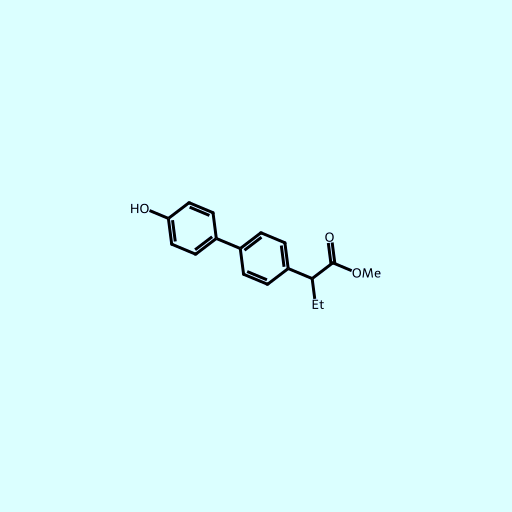 CCC(C(=O)OC)c1ccc(-c2ccc(O)cc2)cc1